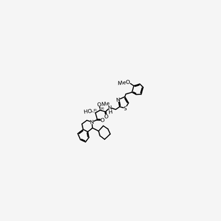 COc1ccccc1Cc1csc(CNC(=O)[C@H](OC)[C@@H](O)C(=O)N2CCc3ccccc3C2C2CCCCC2)n1